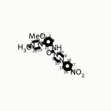 COc1ccc(NC(=O)N2CCN(c3ccc([N+](=O)[O-])cc3)CC2)cc1N1CCN(C)CC1